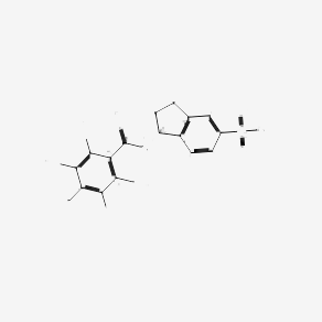 NS(=O)(=O)c1ccc2c(c1)CC[C@H]2NC(=O)c1c(F)c(F)c(I)c(F)c1F